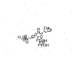 CC/C(=C\c1ccccc1)[C@@H]1C[C@H]1NC1CC2(C1)CN(CCNS(C)(=O)=O)C2.O=C(O)C(F)(F)F.O=C(O)C(F)(F)F